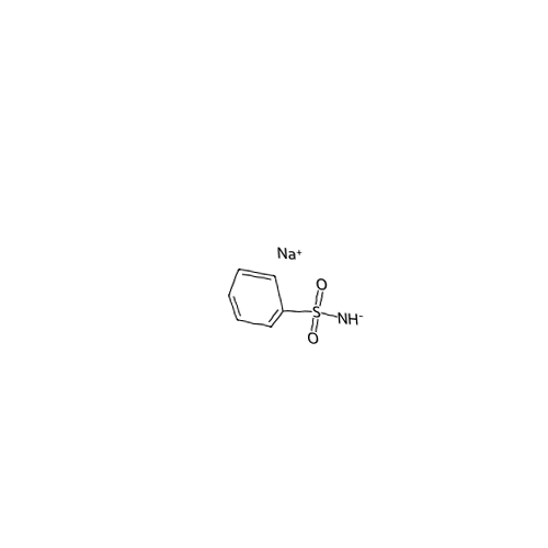 [NH-]S(=O)(=O)c1ccccc1.[Na+]